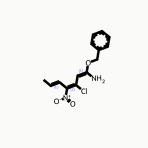 C/C=C/C(=C(Cl)\C=C(/N)OCc1ccccc1)[N+](=O)[O-]